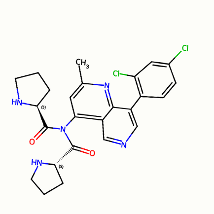 Cc1cc(N(C(=O)[C@@H]2CCCN2)C(=O)[C@@H]2CCCN2)c2cncc(-c3ccc(Cl)cc3Cl)c2n1